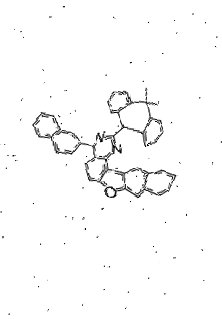 CC1(C)c2ccccc2C(c2nc(-c3ccc4ccccc4c3)c3ccc4oc5cc6ccccc6cc5c4c3n2)c2ccccc21